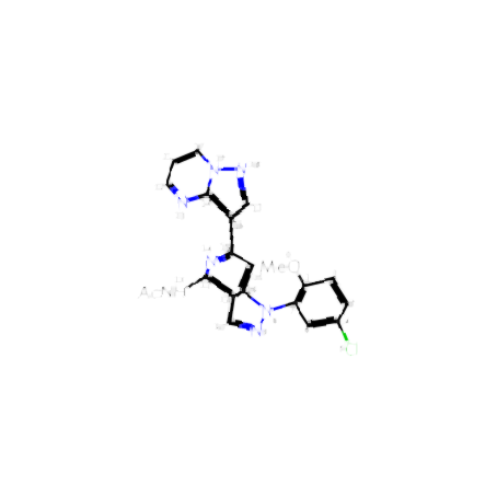 COc1ccc(Cl)cc1-n1ncc2c(NC(C)=O)nc(-c3cnn4cccnc34)cc21